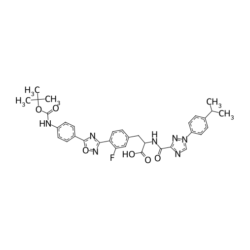 CC(C)c1ccc(-n2cnc(C(=O)NC(Cc3ccc(-c4noc(-c5ccc(NC(=O)OC(C)(C)C)cc5)n4)c(F)c3)C(=O)O)n2)cc1